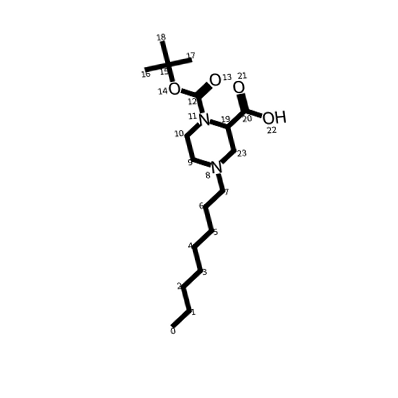 CCCCCCCCN1CCN(C(=O)OC(C)(C)C)C(C(=O)O)C1